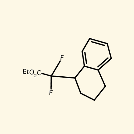 CCOC(=O)C(F)(F)C1CCCc2ccccc21